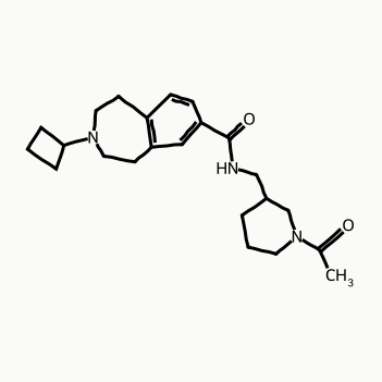 CC(=O)N1CCCC(CNC(=O)c2ccc3c(c2)CCN(C2CCC2)CC3)C1